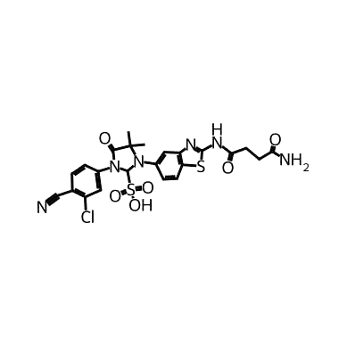 CC1(C)C(=O)N(c2ccc(C#N)c(Cl)c2)C(S(=O)(=O)O)N1c1ccc2sc(NC(=O)CCC(N)=O)nc2c1